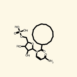 NC(=O)/C=C\N(C(=O)C1CCCCCCCCCCCC1)C1OC(COP(=O)(O)O)C(O)C1O